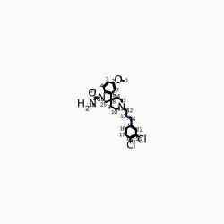 COc1ccc2c(c1)C1(CCN(C/C=C/c3ccc(Cl)c(Cl)c3)CC1)CN2C(N)=O